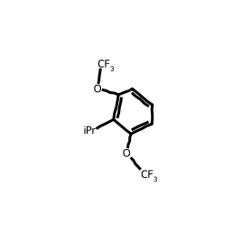 CC(C)c1c(OC(F)(F)F)cccc1OC(F)(F)F